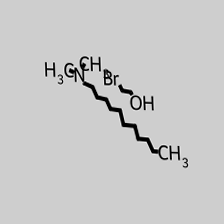 CCCCCCCCCCCCN(C)C.OCCBr